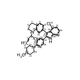 C=CC(O)N1CCCc2ccc(-c3c(-c4ccc(N5CCN(C)CC5)nc4)[nH]c4nccc(Cl)c34)cc21